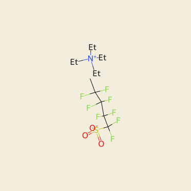 CC(F)(F)C(F)(F)C(F)(F)C(F)(F)S(=O)(=O)[O-].CC[N+](CC)(CC)CC